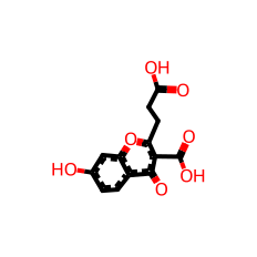 O=C(O)CCc1oc2cc(O)ccc2c(=O)c1C(=O)O